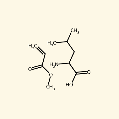 C=CC(=O)OC.CC(C)CC(N)C(=O)O